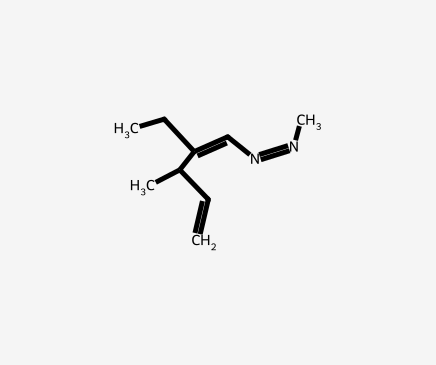 C=CC(C)/C(=C\N=N/C)CC